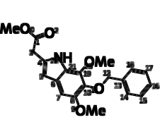 COC(=O)Cc1cc2cc(OC)c(OCc3ccccc3)c(OC)c2[nH]1